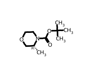 C[C@@H]1COCCN1C(=O)OC(C)(C)C